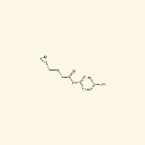 O=C(COCC1CO1)Oc1ccc(O)cc1